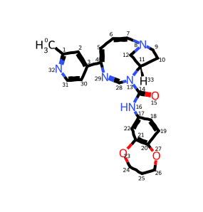 Cc1cc(C2=CC=CN3CC[C@@H](C3)N(C(=O)Nc3ccc4c(c3)OCCCO4)C=N2)ccn1